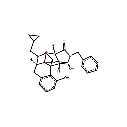 O=C1[C@H]2O[C@@]34CC[C@](O)([C@@H]2[C@@]32CCN(CC3CC3)[C@@H]4Cc3cccc(O)c32)N1Cc1ccccc1